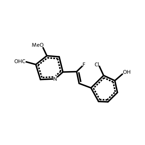 COc1cc(/C(F)=C/c2cccc(O)c2Cl)ncc1C=O